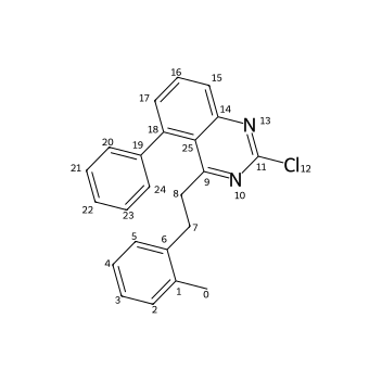 Cc1ccccc1CCc1nc(Cl)nc2cccc(-c3ccccc3)c12